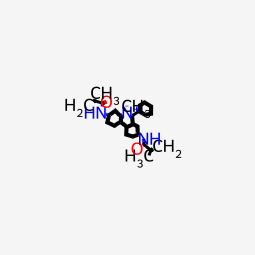 C=C(C)C(=O)Nc1ccc2c(c1)c(-c1ccccc1)[n+](C)c1cc(NC(=O)C(=C)C)ccc21